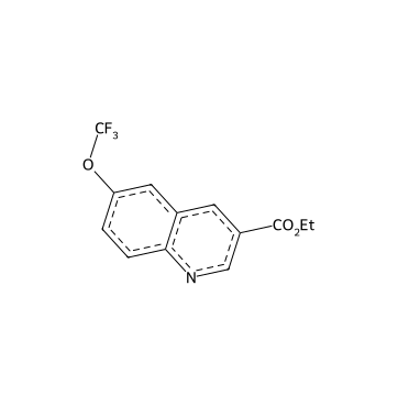 CCOC(=O)c1cnc2ccc(OC(F)(F)F)cc2c1